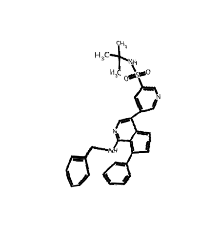 CC(C)(C)NS(=O)(=O)c1cncc(-c2cnc(NCc3ccccc3)c3c(-c4ccccc4)cccc23)c1